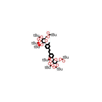 Cc1cc(C=Cc2ccc([C@H]3O[C@H](COC(=O)C(C)(C)C)[C@@H](OC(=O)C(C)(C)C)[C@H](OC(=O)C(C)(C)C)[C@@H]3OC(=O)C(C)(C)C)cc2)ccc1[C@H]1O[C@H](COC(=O)C(C)(C)C)[C@@H](OC(=O)C(C)(C)C)[C@H](OC(=O)C(C)(C)C)[C@@H]1OC(=O)C(C)(C)C